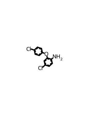 Nc1ccc(Cl)cc1Oc1ccc(Cl)cc1